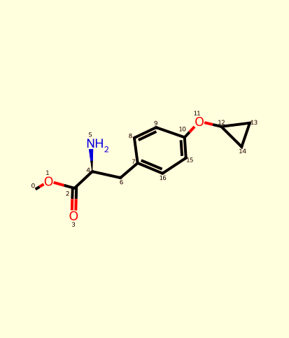 COC(=O)[C@@H](N)Cc1ccc(OC2CC2)cc1